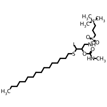 CCCCCCCCCCCCCCCCSC(I)C(CNS(=O)(=O)CCC[N+](C)(C)C)OC(=O)NC